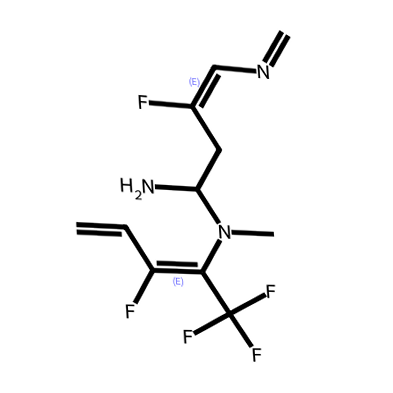 C=C/C(F)=C(\N(C)C(N)C/C(F)=C\N=C)C(F)(F)F